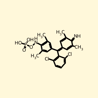 CC1=CC(=C(c2cc(C)c(NOP(=O)(O)O)c(C)c2)c2c(Cl)cccc2Cl)C=C(C)C1=N